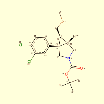 CSC[C@H]1[C@@H]2CN(C(=O)OC(C)(C)C)C[C@]12c1ccc(Cl)c(Cl)c1